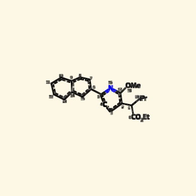 CCOC(=O)C(c1ccc(-c2ccc3ccccc3c2)nc1OC)C(C)C